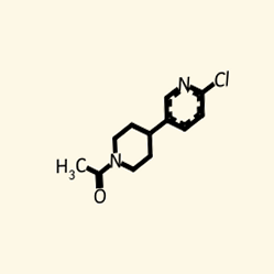 CC(=O)N1CCC(c2ccc(Cl)nc2)CC1